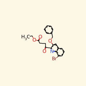 CCOC(=O)CCC(=O)c1nc2c(Br)cccc2cc1OCc1ccccc1